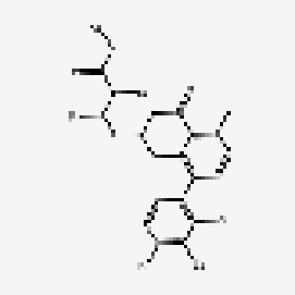 CCCC(CC1CC(=O)c2c(C)ccc(-c3ccc(CC)c(CC)c3CC)c2C1)C(CC)C(=O)CC(C)=O